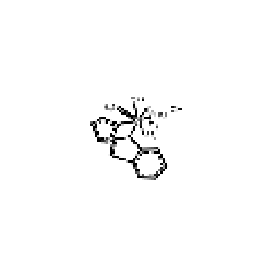 C[C](C)(C)[Zr]([CH3])([CH3])(=[SiH2])([c]1ccc[nH]1)([CH]1C=Cc2ccccc21)[C](C)(C)C.Cl.Cl